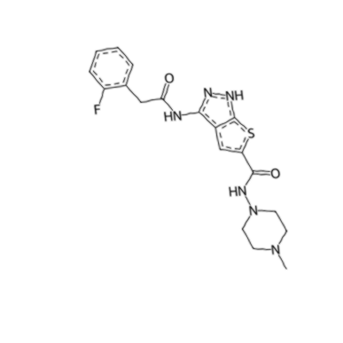 CN1CCN(NC(=O)c2cc3c(NC(=O)Cc4ccccc4F)n[nH]c3s2)CC1